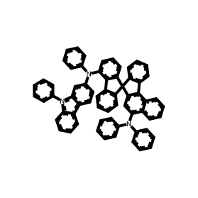 c1ccc(N(c2ccc3c4ccccc4n(-c4ccccc4)c3c2)c2cccc3c2-c2ccccc2C32c3ccccc3-c3c2cc(N(c2ccccc2)c2ccccc2)c2ccccc32)cc1